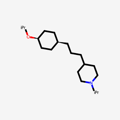 CC(C)O[C@H]1CC[C@@H](CCCC2CCN(C(C)C)CC2)CC1